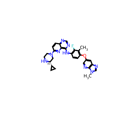 Cc1c(Oc2cnc3c(c2)ncn3C)ccc(Nc2ncnc3ccc(N4CCN[C@@H](C5CC5)C4)nc23)c1F